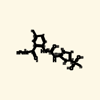 CCCCCC(=O)c1cc(C)ccc1NC(=O)Nc1ncc(S(C)(=O)=O)s1